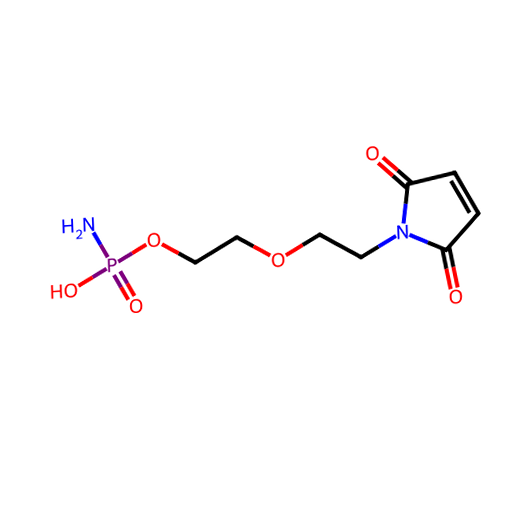 NP(=O)(O)OCCOCCN1C(=O)C=CC1=O